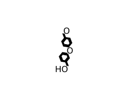 O=Cc1ccc(Oc2cccc(CO)c2)cc1